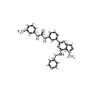 Cn1ccc2nc(-c3cccc(NC(=O)Nc4cccc(C(F)(F)F)c4)c3)nc(NCc3ccncc3)c21